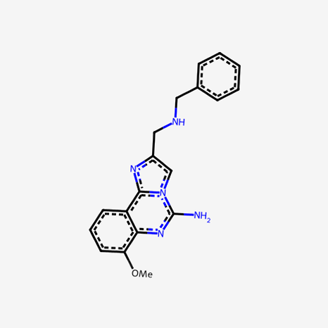 COc1cccc2c1nc(N)n1cc(CNCc3ccccc3)nc21